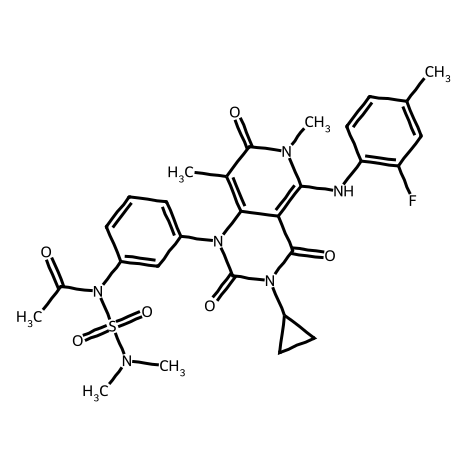 CC(=O)N(c1cccc(-n2c(=O)n(C3CC3)c(=O)c3c(Nc4ccc(C)cc4F)n(C)c(=O)c(C)c32)c1)S(=O)(=O)N(C)C